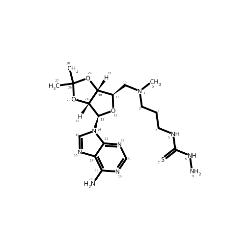 CN(CCCNC(=S)NN)C[C@H]1O[C@@H](n2cnc3c(N)ncnc32)[C@@H]2OC(C)(C)O[C@@H]21